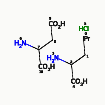 CC(C)CC(N)C(=O)O.Cl.NC(CC(=O)O)C(=O)O